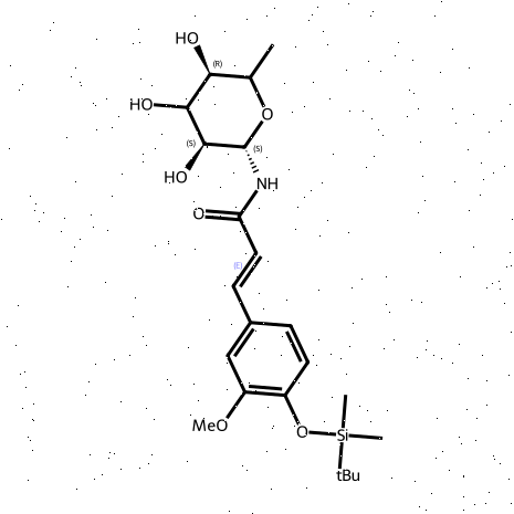 COc1cc(/C=C/C(=O)N[C@H]2OC(C)[C@H](O)C(O)[C@@H]2O)ccc1O[Si](C)(C)C(C)(C)C